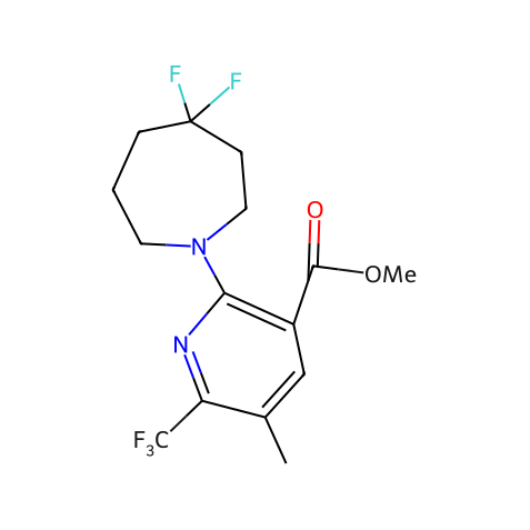 COC(=O)c1cc(C)c(C(F)(F)F)nc1N1CCCC(F)(F)CC1